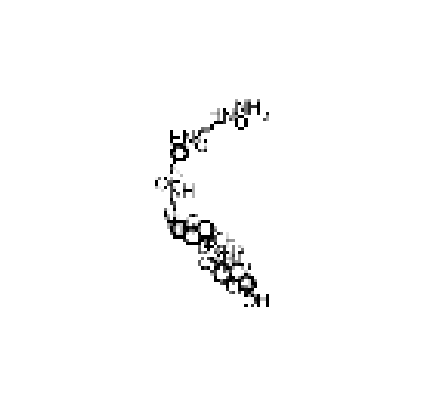 C[C@]1(C(=O)NC(=O)[C@@]2(C)CCC[C@]3(C)c4cc(OCCNC(=O)OCc5ccc(NC(=O)CCCCNC(N)=O)cc5)ccc4CC[C@@H]23)CCC[C@]2(C)c3cc(O)ccc3CC[C@@H]12